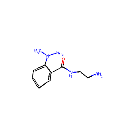 NCCNC(=O)c1ccccc1N(N)N